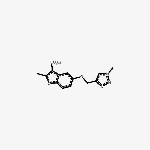 CCOC(=O)c1c(C)oc2ccc(OCc3cn(C)nn3)cc12